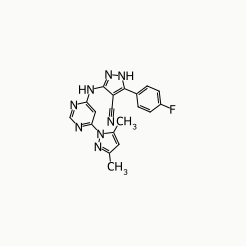 Cc1cc(C)n(-c2cc(Nc3n[nH]c(-c4ccc(F)cc4)c3C#N)ncn2)n1